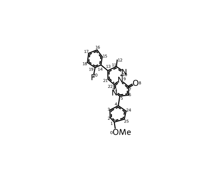 COc1ccc(-c2cc(=O)n3nc(C)c(-c4ccccc4F)cc3n2)cc1